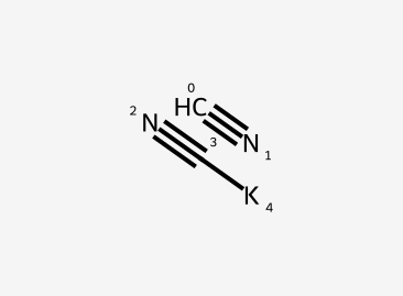 C#N.N#[C][K]